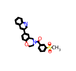 CS(=O)(=O)c1cccc(C(=O)N2CCOc3ccc(-c4cnc5ccccc5c4)cc3C2)c1